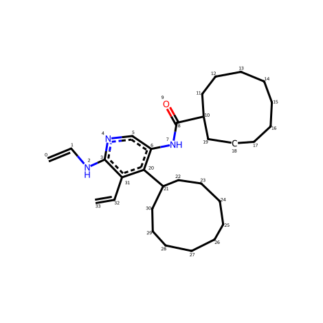 C=CNc1ncc(NC(=O)C2CCCCCCCCC2)c(C2CCCCCCCCC2)c1C=C